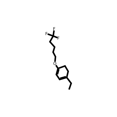 CCC1=CC=C(OCCCCC(F)(F)F)CC1